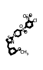 COc1cccc(Cc2csc(N3CCC(S(=O)(=O)c4ccc(Cl)c([N+](=O)[O-])c4)CC3)n2)c1